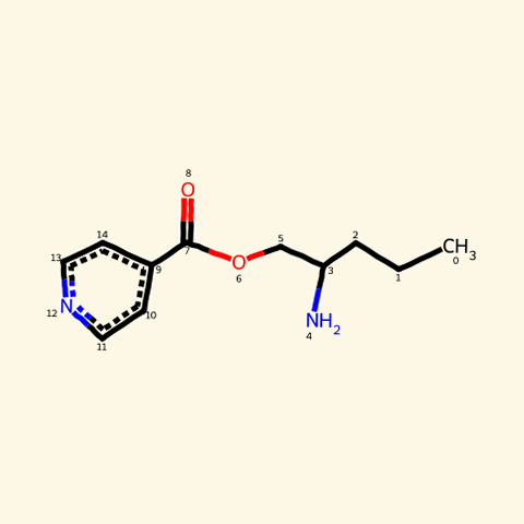 CCCC(N)COC(=O)c1ccncc1